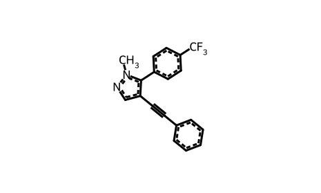 Cn1ncc(C#Cc2ccccc2)c1-c1ccc(C(F)(F)F)cc1